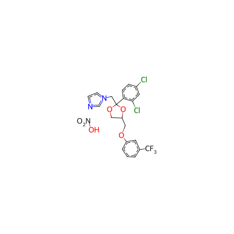 FC(F)(F)c1cccc(OCC2COC(Cn3ccnc3)(c3ccc(Cl)cc3Cl)O2)c1.O=[N+]([O-])O